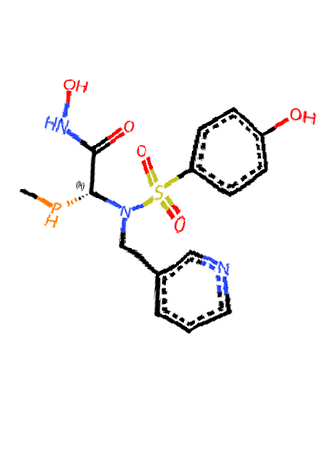 CP[C@H](C(=O)NO)N(Cc1cccnc1)S(=O)(=O)c1ccc(O)cc1